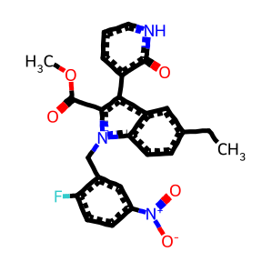 CCc1ccc2c(c1)c(-c1ccc[nH]c1=O)c(C(=O)OC)n2Cc1cc([N+](=O)[O-])ccc1F